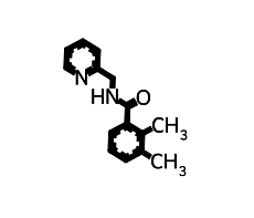 Cc1cccc(C(=O)NCc2ccccn2)c1C